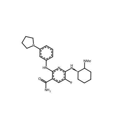 CNC1CCCC[C@H]1Nc1nc(Nc2cccc(N3CCCC3)c2)c(C(N)=O)cc1F